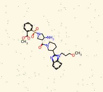 COCCCn1c(C2CCCN(C(=O)[C@@H]3CN(S(=O)(=O)c4ccccc4C(=O)OC)C[C@H]3N)C2)nc2ccccc21